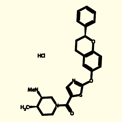 CN[C@H]1CN(C(=O)c2cnc(Oc3ccc4c(c3)CC[C@@H](c3ccccc3)O4)s2)CC[C@H]1C.Cl